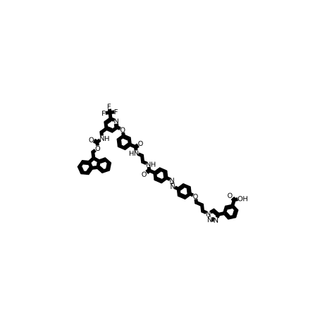 O=C(NCc1cc(Oc2cccc(C(=O)NCCNC(=O)c3ccc(N=Nc4ccc(OCCCn5cc(-c6cccc(C(=O)O)c6)nn5)cc4)cc3)c2)nc(C(F)(F)F)c1)OCC1c2ccccc2-c2ccccc21